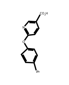 CC(C)c1ccc(Oc2ccc(C(=O)O)cn2)cc1